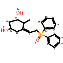 CC1/C(=C\CP(=O)(c2ccccc2)c2ccccc2)CC(O)C[C@@H]1O